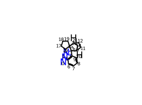 [N-]=[N+]=N[C@]1(c2ccccc2)[C@@H]2CC[C@@H](C2)C12CCCC2